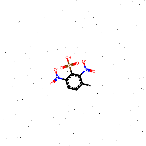 Cc1ccc([N+](=O)[O-])c(S(=O)(=O)O)c1[N+](=O)[O-]